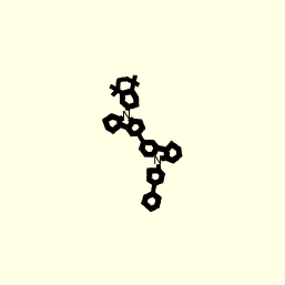 CC1(C)CCC(C)(C)c2cc(-n3c4ccccc4c4cc(-c5ccc6c(c5)c5ccccc5n6-c5ccc(-c6ccccc6)cc5)ccc43)ccc21